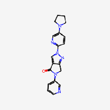 O=C1c2cn(-c3ccc(N4CCCC4)cn3)nc2CN1c1cccnc1